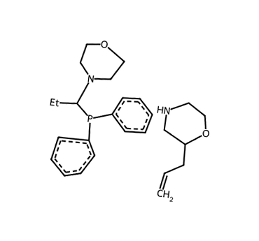 C=CCC1CNCCO1.CCC(N1CCOCC1)P(c1ccccc1)c1ccccc1